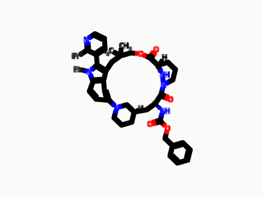 CCn1c(-c2cccnc2C(C)C)c2c3cc(ccc31)N1CCC[C@@H](C[C@H](NC(=O)OCc3ccccc3)C(=O)N3CCC[C@H](N3)C(=O)OCC(C)(C)C2)C1